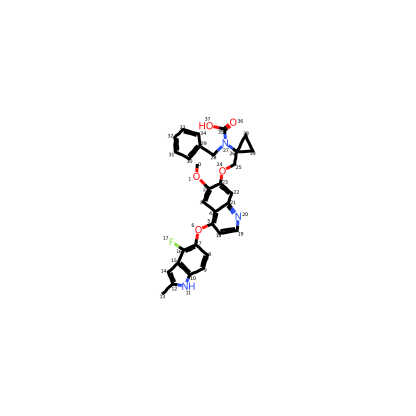 COc1cc2c(Oc3ccc4[nH]c(C)cc4c3F)ccnc2cc1OCC1(N(Cc2ccccc2)C(=O)O)CC1